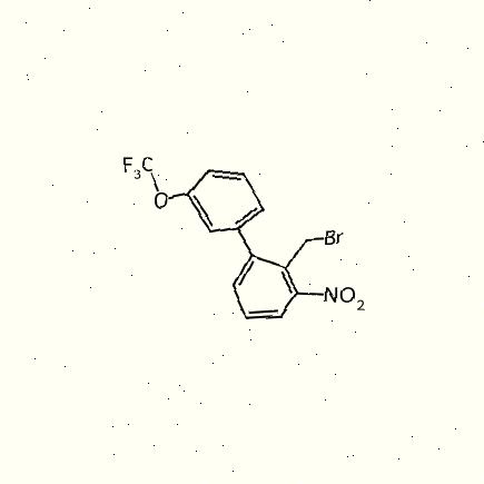 O=[N+]([O-])c1cccc(-c2cccc(OC(F)(F)F)c2)c1CBr